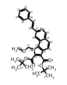 CC(C)(C)OC(=O)c1c(C(=O)OC(C)(C)C)n(CON)c2c1ccc1cnc(C=Cc3ccccc3)cc12